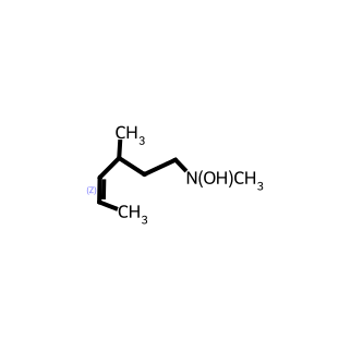 C/C=C\C(C)CCN(C)O